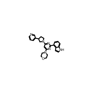 c1cncc(C2CCN(c3cc(N4CCOCC4)nc(-c4cccc5[nH]ccc45)n3)C2)c1